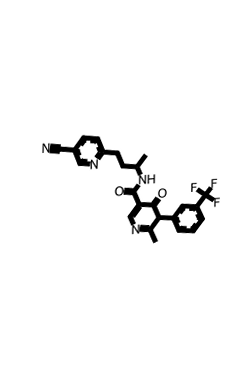 CC1=NC=C(C(=O)NC(C)CCc2ccc(C#N)cn2)C(=O)C1c1cccc(C(F)(F)F)c1